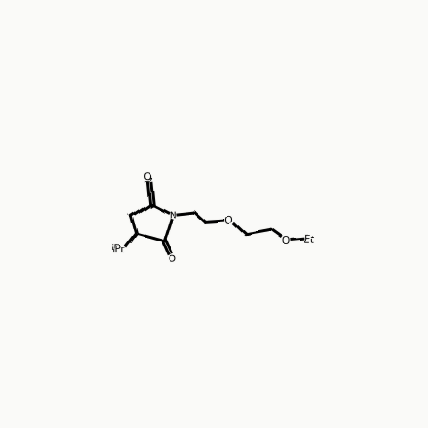 CCOCCOCCN1C(=O)CC(C(C)C)C1=O